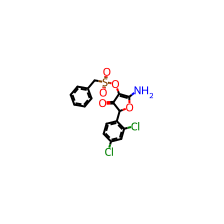 NC1=C(OS(=O)(=O)Cc2ccccc2)C(=O)C(c2ccc(Cl)cc2Cl)O1